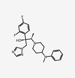 C[C@@H](N1CCC(N(C)c2ccccc2)CC1)[C@](O)(Cn1cncn1)c1ccc(F)cc1F